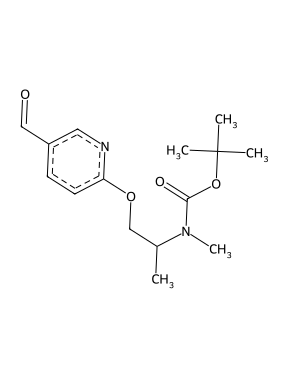 CC(COc1ccc(C=O)cn1)N(C)C(=O)OC(C)(C)C